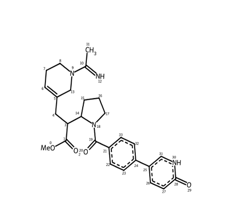 COC(=O)C(CC1=CCCN(C(C)=N)C1)C1CCCN1C(=O)c1ccc(-c2ccc(=O)[nH]c2)cc1